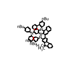 CCCCc1ccc(N2B3c4cc(N(c5ccc(CCCC)cc5)c5ccc(CCCC)cc5)ccc4N(c4ccc(CCCC)cc4-c4ccccc4)c4c3c(cc3ccccc43)-c3cc4c(cc32)C(C)(C)c2ccccc2-4)cc1